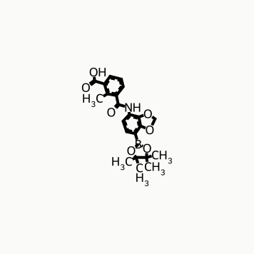 Cc1c(C(=O)O)cccc1C(=O)Nc1ccc(B2OC(C)(C)C(C)(C)O2)c2c1OCO2